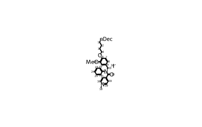 CCCCCCCCCCCCCCOc1ccc(CN(C(=O)c2cc[n+](C)cc2)c2ccccc2)cc1OC.[I-]